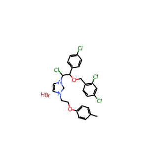 Br.Cc1ccc(OCCN2C=CN(C(Cl)C(OCc3ccc(Cl)cc3Cl)c3ccc(Cl)cc3)C2)cc1